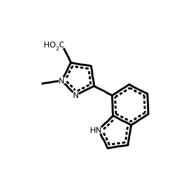 Cn1nc(-c2cccc3cc[nH]c23)cc1C(=O)O